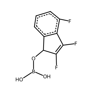 OB(O)OC1C(F)=C(F)c2c(F)cccc21